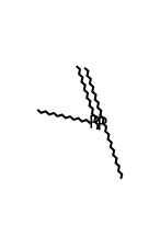 CCCCCCCCCCCCCCP(CCCCCCCCCCCCCC)C(C)P(CCCCCCCCCCCCCC)CCCCCCCCCCCCCC